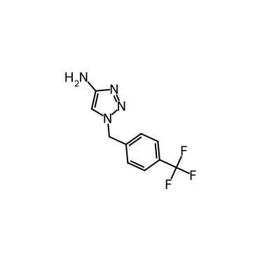 Nc1cn(Cc2ccc(C(F)(F)F)cc2)nn1